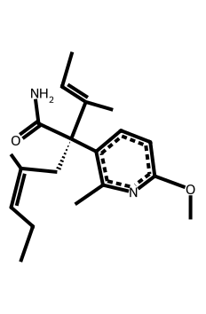 C/C=C(\C)[C@](C/C(C)=C\CC)(C(N)=O)c1ccc(OC)nc1C